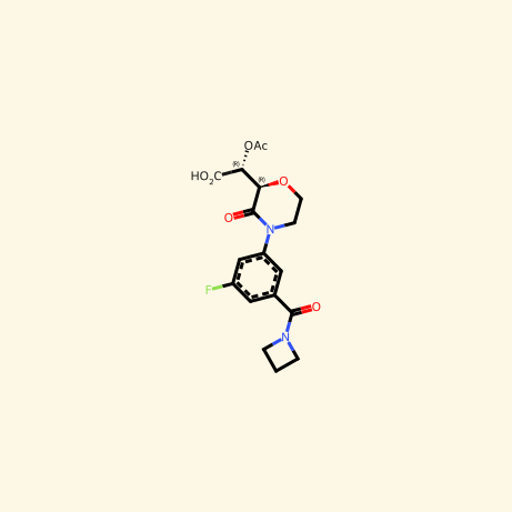 CC(=O)O[C@@H](C(=O)O)[C@H]1OCCN(c2cc(F)cc(C(=O)N3CCC3)c2)C1=O